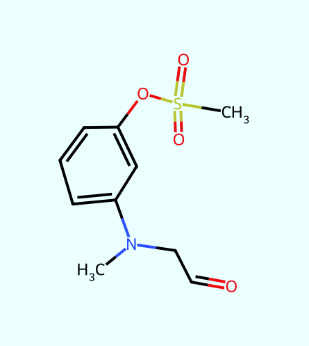 CN(CC=O)c1cccc(OS(C)(=O)=O)c1